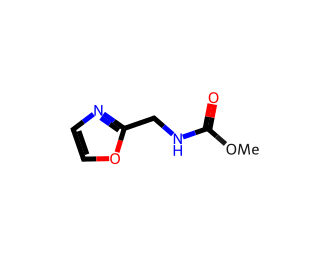 COC(=O)NCc1ncco1